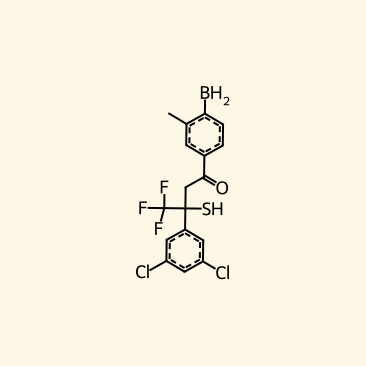 Bc1ccc(C(=O)CC(S)(c2cc(Cl)cc(Cl)c2)C(F)(F)F)cc1C